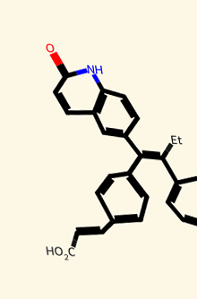 CC/C(=C(/c1ccc(/C=C/C(=O)O)cc1)c1ccc2[nH]c(=O)ccc2c1)c1ccccc1